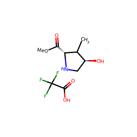 COC(=O)[C@H]1NC[C@H](O)C1C.O=C(O)C(F)(F)F